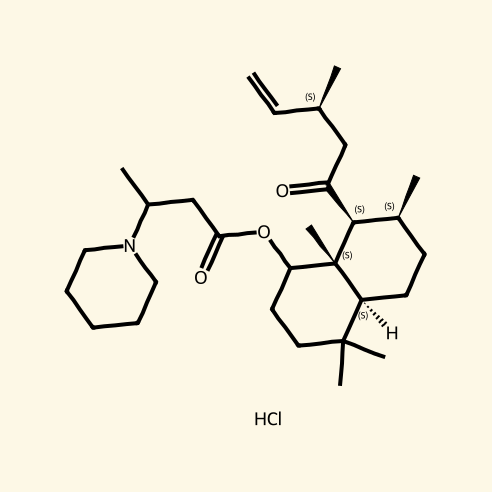 C=C[C@@H](C)CC(=O)[C@H]1[C@@H](C)CC[C@H]2C(C)(C)CCC(OC(=O)CC(C)N3CCCCC3)[C@]12C.Cl